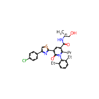 CCc1cccc(CC)c1-n1c(C(C)C)c(C(=O)N[C@H](C)CO)cc(-c2nc(-c3ccc(Cl)cc3)cs2)c1=O